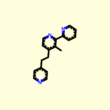 Cc1c(CCc2ccncc2)ccnc1-c1ccccn1